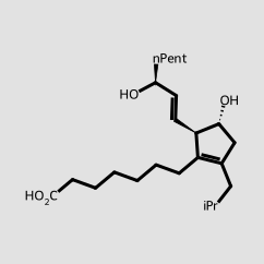 CCCCC[C@H](O)/C=C/[C@@H]1C(CCCCCCC(=O)O)=C(CC(C)C)C[C@H]1O